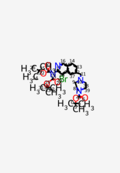 CC(C)(C)OC(=O)N1CCN(Cc2ccc3cnc(N(C(=O)OC(C)(C)C)C(=O)OC(C)(C)C)c(Br)c3c2)CC1